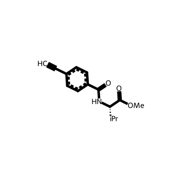 C#Cc1ccc(C(=O)N[C@H](C(=O)OC)C(C)C)cc1